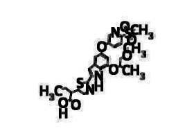 CCC(C(=O)O)C1CN=C(c2cc3cc(Oc4ccc(S(C)(=O)=O)nc4)cc(OC(C)COC)c3[nH]2)S1